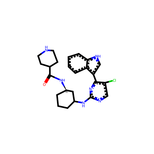 O=C(N[C@@H]1CCCC(Nc2ncc(Cl)c(-c3c[nH]c4ccccc34)n2)C1)C1CCNCC1